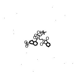 CC(C)(C)OC[C@@H](C(=O)O)N(CCN1C(=O)c2ccccc2C1=O)C(=O)c1cccc2cc([N+](=O)[O-])ccc12